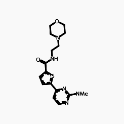 CNc1nccc(-c2ccc(C(=O)NCCN3CCOCC3)s2)n1